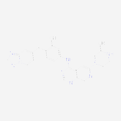 Cc1cc(Nc2ncnc3cnc(N4CCNC(C)C4)cc23)ccc1Cc1ccn2ncnc2c1